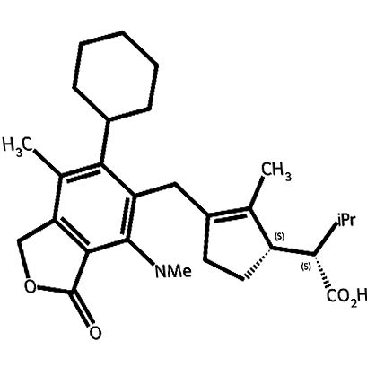 CNc1c(CC2=C(C)[C@H]([C@@H](C(=O)O)C(C)C)CC2)c(C2CCCCC2)c(C)c2c1C(=O)OC2